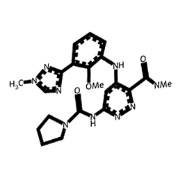 CNC(=O)c1nnc(NC(=O)N2CCCC2)cc1Nc1cccc(-c2ncn(C)n2)c1OC